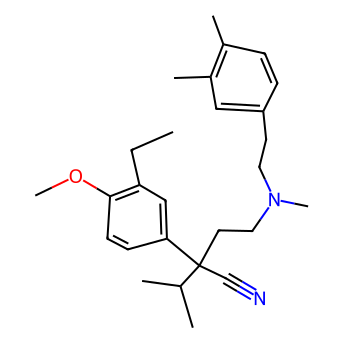 CCc1cc(C(C#N)(CCN(C)CCc2ccc(C)c(C)c2)C(C)C)ccc1OC